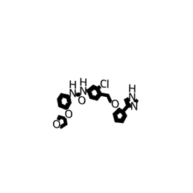 O=C(Nc1cccc(OC2CCOC2)c1)Nc1ccc(CCOc2ccccc2-c2c[nH]cn2)c(Cl)c1